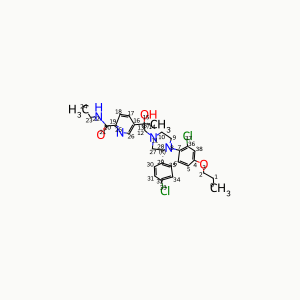 CCCOc1ccc(N2CCN(C[C@@](C)(O)c3ccc(C(=O)NCC)nc3)C[C@H]2c2ccc(Cl)cc2)c(Cl)c1